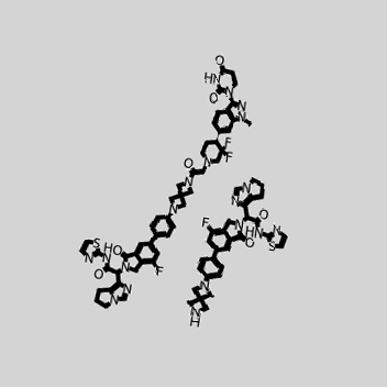 Cn1nc(N2CCC(=O)NC2=O)c2ccc([C@H]3CCN(CC(=O)N4CC5(C4)CN(c4ccc(-c6cc(F)c7c(c6)C(=O)N(C(C(=O)Nc6nccs6)c6ncn8c6CCC8)C7)cc4)C5)CC3(F)F)cc21.O=C(Nc1nccs1)C(c1ncn2c1CCC2)N1Cc2c(F)cc(-c3ccc(N4CC5(CNC5)C4)cc3)cc2C1=O